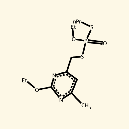 CCCSP(=O)(OCC)SCc1cc(C)nc(OCC)n1